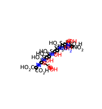 Nc1c(N=Nc2ccc3c(O)c(N=Nc4ccc5c(O)c(N=Nc6ccc(N=Nc7cc(C(=O)O)cc(C(=O)O)c7)cc6OCCCSOOO)c(S(=O)(=O)O)cc5c4S(=O)(=O)O)c(S(=O)(=O)O)cc3c2S(=O)(=O)O)cc(S(=O)(=O)O)c2cc(SOOO)c(N=Nc3ccc([N+](=O)[O-])cc3S(=O)(=O)O)c(O)c12